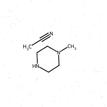 CC#N.CN1CCNCC1